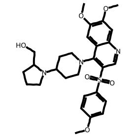 COc1ccc(S(=O)(=O)c2cnc3cc(OC)c(OC)cc3c2N2CCC(N3CCCC3CO)CC2)cc1